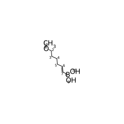 COCCCCC=CB(O)O